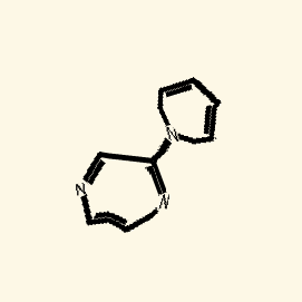 [c]1cccn1-c1cnccn1